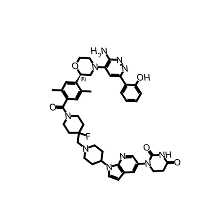 Cc1cc([C@@H]2CN(c3cc(-c4ccccc4O)nnc3N)CCO2)c(C)cc1C(=O)N1CCC(F)(CN2CCC(n3ccc4cc(N5CCC(=O)NC5=O)cnc43)CC2)CC1